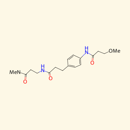 CNC(=O)CCNC(=O)CCc1ccc(NC(=O)CCOC)cc1